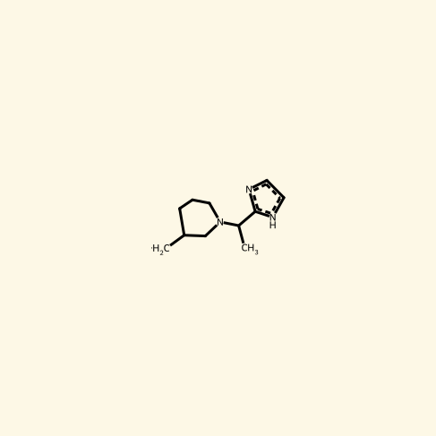 [CH2]C1CCCN(C(C)c2ncc[nH]2)C1